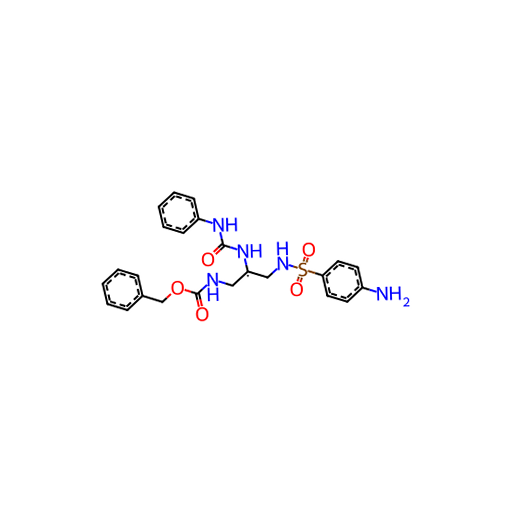 Nc1ccc(S(=O)(=O)NC[C](CNC(=O)OCc2ccccc2)NC(=O)Nc2ccccc2)cc1